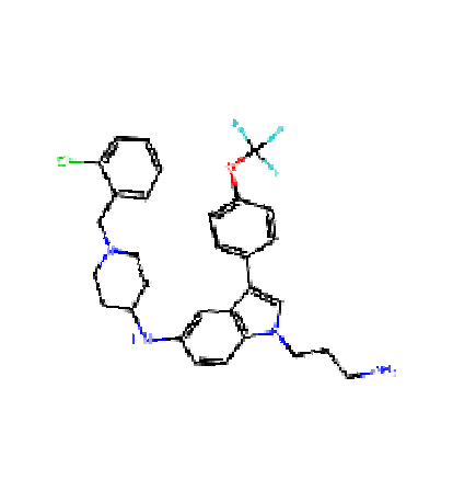 NCCCn1cc(-c2ccc(OC(F)(F)F)cc2)c2cc(NC3CCN(Cc4ccccc4Cl)CC3)ccc21